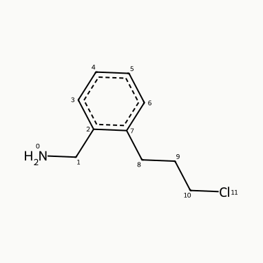 NCc1ccccc1CCCCl